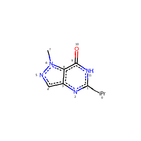 CC(C)c1nc2cnn(C)c2c(=O)[nH]1